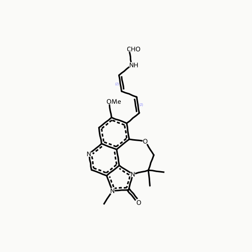 COc1cc2ncc3c4c2c(c1/C=C\C=C/NC=O)OCC(C)(C)n4c(=O)n3C